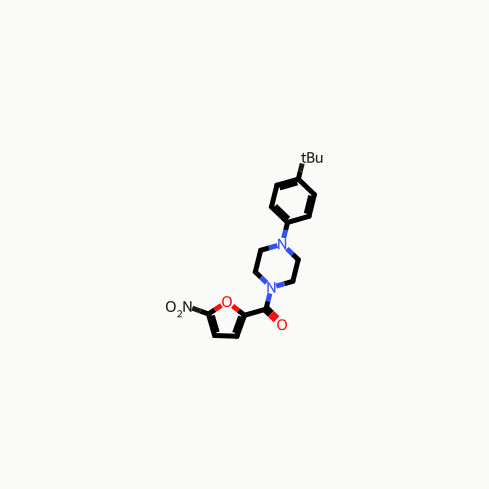 CC(C)(C)c1ccc(N2CCN(C(=O)c3ccc([N+](=O)[O-])o3)CC2)cc1